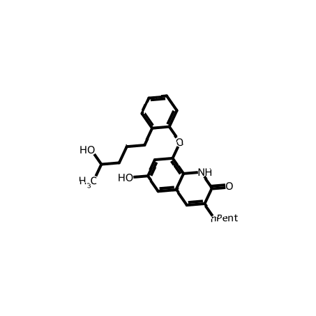 CCCCCc1cc2cc(O)cc(Oc3ccccc3CCCC(C)O)c2[nH]c1=O